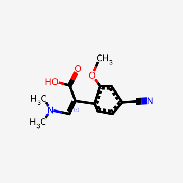 COc1cc(C#N)ccc1/C(=C/N(C)C)C(=O)O